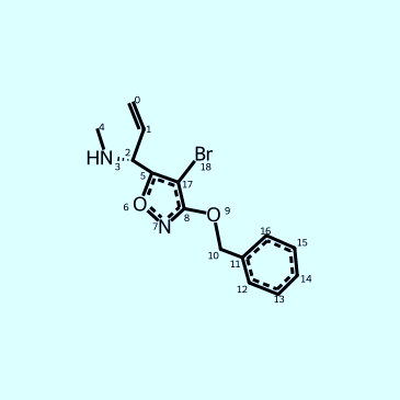 C=C[C@@H](NC)c1onc(OCc2ccccc2)c1Br